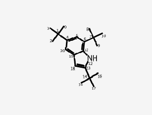 CC(C)(C)c1cc(C(C)(C)C)c2[nH]c(C(C)(C)C)cc2c1